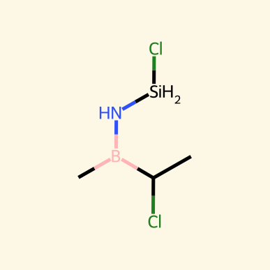 CB(N[SiH2]Cl)C(C)Cl